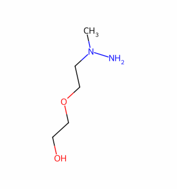 CN(N)CCOCCO